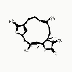 C=C1OC2C=C1CC/C=C(\C)CC[C@@H]1C(=C)C(=O)O[C@H]1/C=C(\C)C2